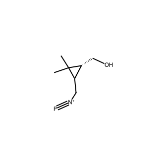 CC1(C)C(C[N+]#P)[C@H]1CO